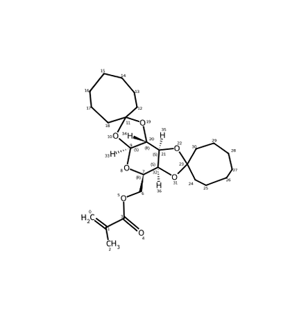 C=C(C)C(=O)OC[C@H]1O[C@H]2OC3(CCCCCCC3)O[C@@H]2[C@H]2OC3(CCCCCCC3)O[C@H]21